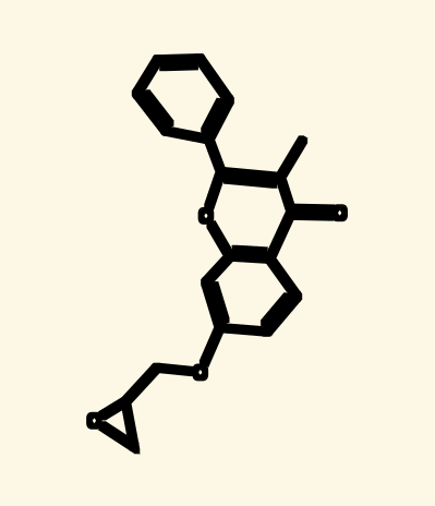 Cc1c(-c2ccccc2)oc2cc(OCC3CO3)ccc2c1=O